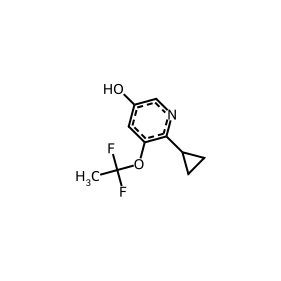 CC(F)(F)Oc1cc(O)cnc1C1CC1